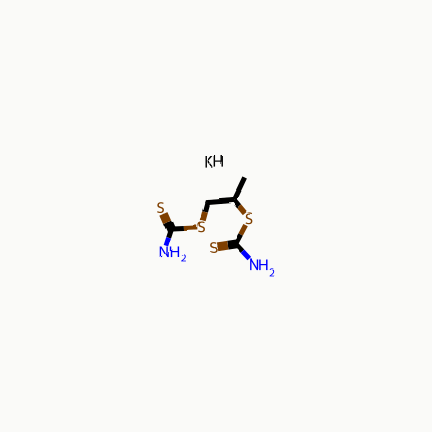 CC(CSC(N)=S)SC(N)=S.[KH]